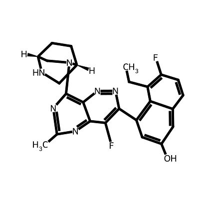 CCc1c(F)ccc2cc(O)cc(-c3nnc4c(N5C[C@H]6CC[C@@H]5CN6)nc(C)nc4c3F)c12